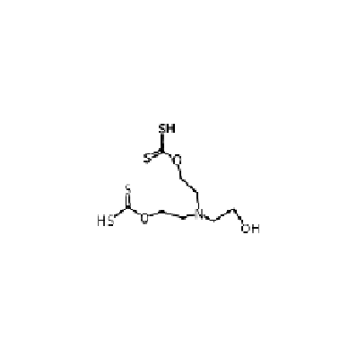 OCCN(CCOC(=S)S)CCOC(=S)S